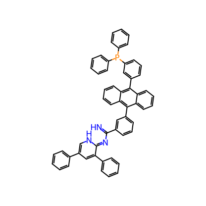 N=C(/N=c1\[nH]cc(-c2ccccc2)cc1-c1ccccc1)c1cccc(-c2c3ccccc3c(-c3cccc(P(c4ccccc4)c4ccccc4)c3)c3ccccc23)c1